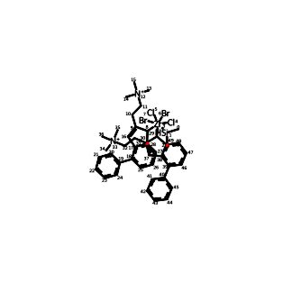 C[SiH](C)[Zr]([Cl])([Cl])([Br])([Br])([CH]1C(CC[N+](C)(C)C)=Cc2c(-c3ccccc3)cccc21)[CH]1C(CC[N+](C)(C)C)=Cc2c(-c3ccccc3)cccc21